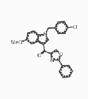 COc1ccc2c(c1)c(C(=O)c1coc(-c3ccccc3)n1)cn2Cc1ccc(Cl)cc1